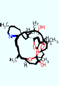 C=C1CCCC2=NC[C@H](C)CC[C@@]23CCC([C@@H]2C=C(C)C(=O)O2)=C(C)[C@@H]3/C=C(\C)[C@@H](O)C[C@H]2O[C@]3(CC[C@@]4(O[C@@H](CC[C@@]4(C)O)C1)O3)C[C@H]2C